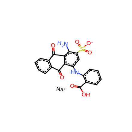 Nc1c(S(=O)(=O)[O-])cc(Nc2ccccc2C(=O)O)c2c1C(=O)c1ccccc1C2=O.[Na+]